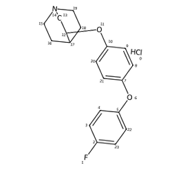 Cl.Fc1ccc(Oc2ccc(OC3CN4CCC3CC4)cc2)cc1